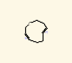 [CH]1/C=C/CC/C=C\CCC1